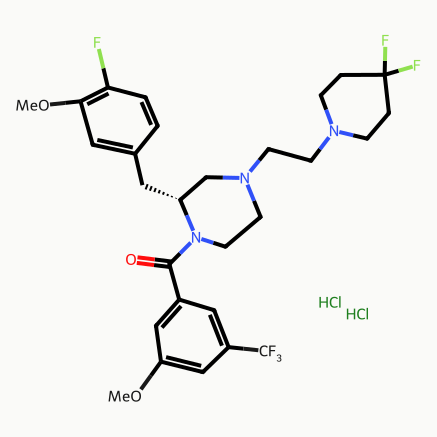 COc1cc(C(=O)N2CCN(CCN3CCC(F)(F)CC3)C[C@H]2Cc2ccc(F)c(OC)c2)cc(C(F)(F)F)c1.Cl.Cl